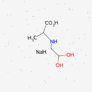 CC(NCC(O)O)C(=O)O.[NaH]